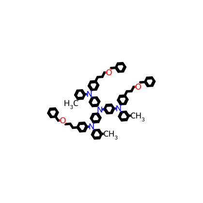 Cc1cccc(N(c2ccc(CCCOCc3ccccc3)cc2)c2ccc(N(c3ccc(N(c4ccc(CCCOCc5ccccc5)cc4)c4cccc(C)c4)cc3)c3ccc(N(c4ccc(CCCOCc5ccccc5)cc4)c4cccc(C)c4)cc3)cc2)c1